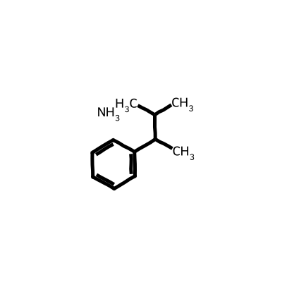 CC(C)C(C)c1ccccc1.N